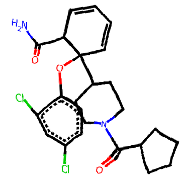 NC(=O)C1C=CC=CC1(Oc1ccc(Cl)cc1Cl)C1CCN(C(=O)C2CCCC2)CC1